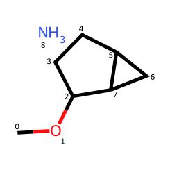 COC1CCC2CC21.N